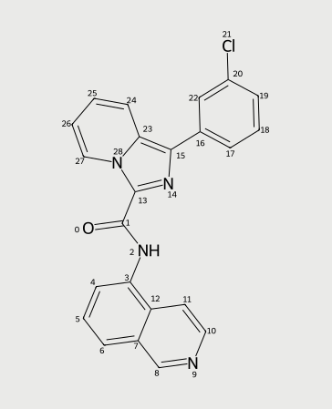 O=C(Nc1cccc2cnccc12)c1nc(-c2cccc(Cl)c2)c2ccccn12